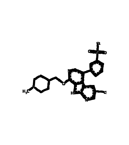 CCS(=O)(=O)c1cccc(-c2cnc(OCC3CCN(C)CC3)c3[nH]c4ncc(Cl)cc4c23)c1